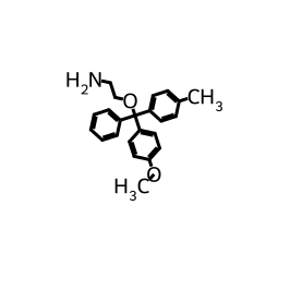 COc1ccc(C(OCCN)(c2ccccc2)c2ccc(C)cc2)cc1